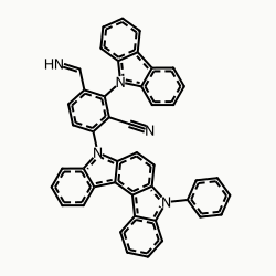 N#Cc1c(-n2c3ccccc3c3c4c5ccccc5n(-c5ccccc5)c4ccc32)ccc(C=N)c1-n1c2ccccc2c2ccccc21